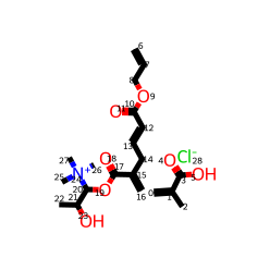 C=C(C)C(=O)O.C=CCOC(=O)C=CCC(=C)C(=O)OC(C(C)O)[N+](C)(C)C.[Cl-]